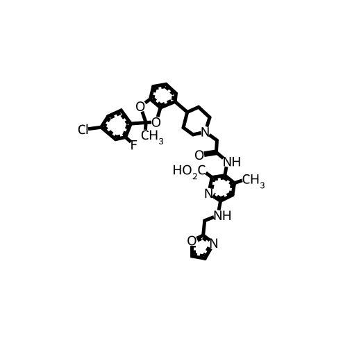 Cc1cc(NCc2ncco2)nc(C(=O)O)c1NC(=O)CN1CCC(c2cccc3c2OC(C)(c2ccc(Cl)cc2F)O3)CC1